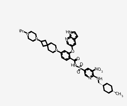 CC(C)N1CCN(C2CC3(CCN(c4ccc(C(=O)NS(=O)(=O)c5cnc(NC[C@H]6CC[C@@H](C)CC6)c([N+](=O)[O-])c5)c(Oc5cnc6[nH]ccc6c5)c4)CC3)C2)CC1